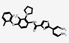 Cc1ccccc1Oc1ccc(NC(=O)c2csc(C(/C=C\N)=C/N)n2)c(N2CCCC2)c1C(F)(F)F